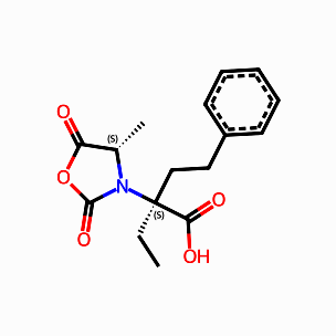 CC[C@](CCc1ccccc1)(C(=O)O)N1C(=O)OC(=O)[C@@H]1C